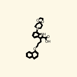 O=C(O)c1[nH]c2c(N3CCC4(CC3)OCCO4)cccc2c1CCCOc1cccc2ccccc12